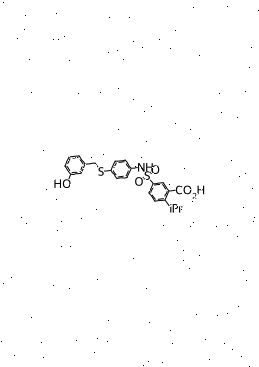 CC(C)c1ccc(S(=O)(=O)Nc2ccc(SCc3cccc(O)c3)cc2)cc1C(=O)O